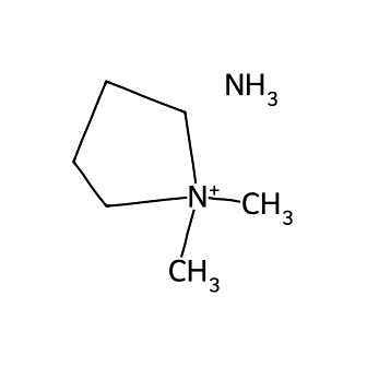 C[N+]1(C)CCCC1.N